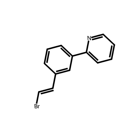 BrC=Cc1cccc(-c2ccccn2)c1